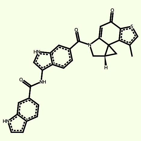 Cc1csc2c1C13C[C@@H]1CN(C(=O)c1ccc4c(NC(=O)c5ccc6cc[nH]c6c5)c[nH]c4c1)C3=CC2=O